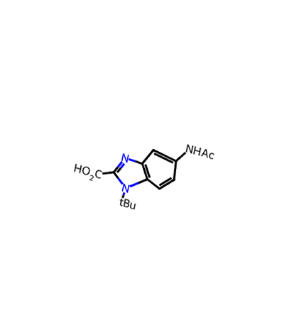 CC(=O)Nc1ccc2c(c1)nc(C(=O)O)n2C(C)(C)C